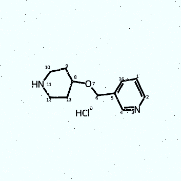 Cl.c1cncc(COC2CCNCC2)c1